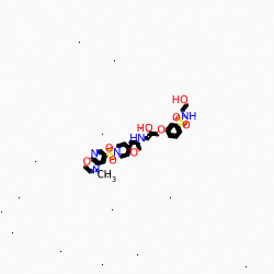 CN1CCOc2ncc(S(=O)(=O)N3CCC4(CC3)CC(NC[C@H](O)COc3cccc(S(=O)(=O)NCCO)c3)CO4)cc21